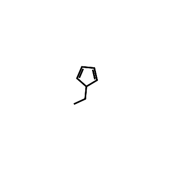 CCC1C=CC=C1